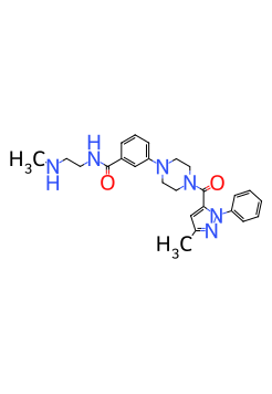 CNCCNC(=O)c1cccc(N2CCN(C(=O)c3cc(C)nn3-c3ccccc3)CC2)c1